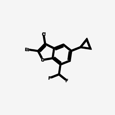 CCc1oc2c(C(F)F)cc(C3CC3)cc2c1Cl